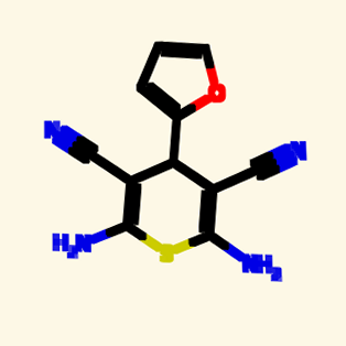 N#CC1=C(N)SC(N)=C(C#N)C1c1ccco1